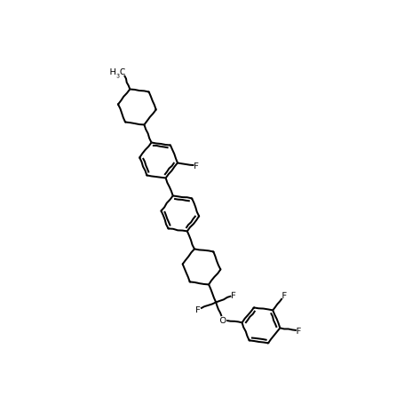 CC1CCC(c2ccc(-c3ccc(C4CCC(C(F)(F)Oc5ccc(F)c(F)c5)CC4)cc3)c(F)c2)CC1